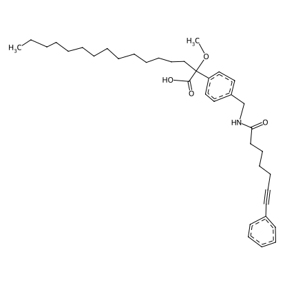 CCCCCCCCCCCCCCC(OC)(C(=O)O)c1ccc(CNC(=O)CCCCC#Cc2ccccc2)cc1